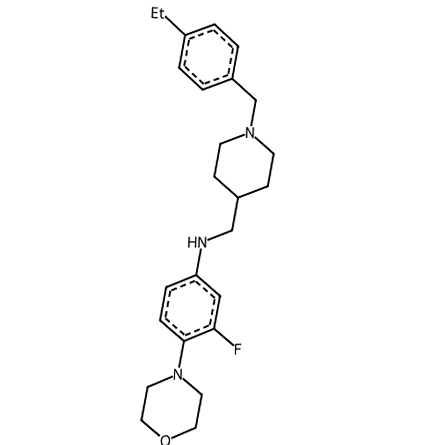 CCc1ccc(CN2CCC(CNc3ccc(N4CCOCC4)c(F)c3)CC2)cc1